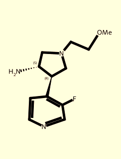 COCCN1C[C@@H](N)[C@H](c2ccncc2F)C1